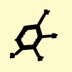 Brc1[c][c]c(Br)c(Br)c1Br